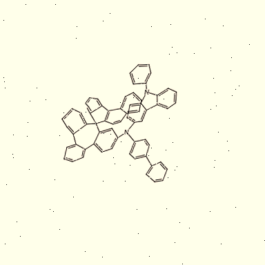 c1ccc(-c2ccc(N(c3ccc4c(c3)C3(c5ccccc5-c5ccccc5-4)c4ccccc4-c4c3ccc3ccccc43)c3ccc4c(c3)c3ccccc3n4-c3ccccc3)cc2)cc1